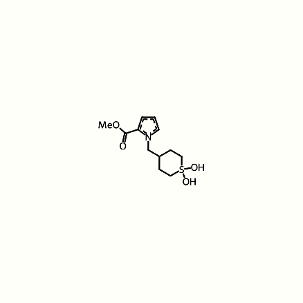 COC(=O)c1cccn1CC1CCS(O)(O)CC1